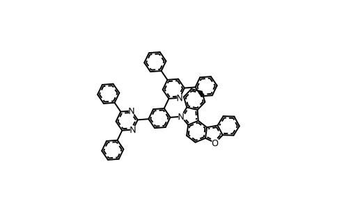 c1ccc(-c2cc(-c3ccccc3)nc(-c3cc(-c4nc(-c5ccccc5)cc(-c5ccccc5)n4)ccc3-n3c4ccccc4c4c5c(ccc43)oc3ccccc35)c2)cc1